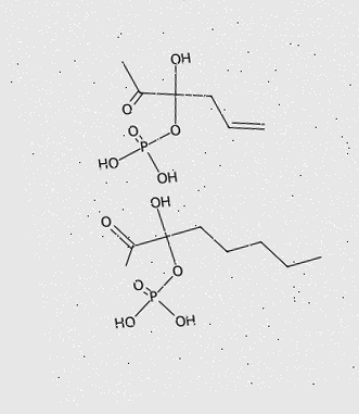 C=CCC(O)(OP(=O)(O)O)C(C)=O.CCCCCC(O)(OP(=O)(O)O)C(C)=O